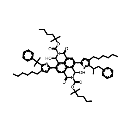 CCCCCCc1cc(-c2cc3c4c(c(-c5cc(CCCCCC)c(C(C)(C)c6ccccc6)s5)cc5c4c2C(O)N(C(=O)OC(C)(C)CCCC)C5=O)C(O)N(C(=O)OC(C)(C)CCCC)C3=O)sc1C(C)Cc1ccccc1